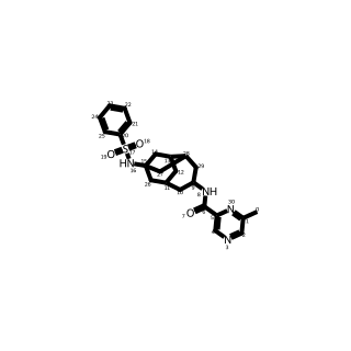 Cc1cncc(C(=O)NC2CC3CC4CC(NS(=O)(=O)c5ccccc5)(C3)CC4C2)n1